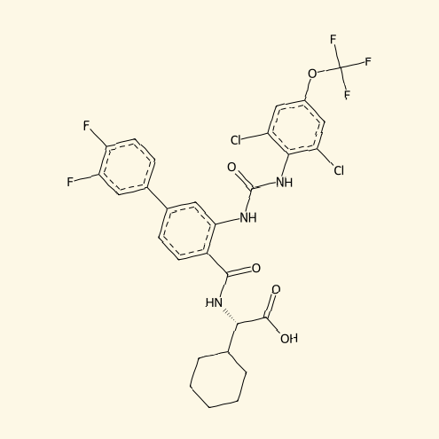 O=C(Nc1cc(-c2ccc(F)c(F)c2)ccc1C(=O)N[C@H](C(=O)O)C1CCCCC1)Nc1c(Cl)cc(OC(F)(F)F)cc1Cl